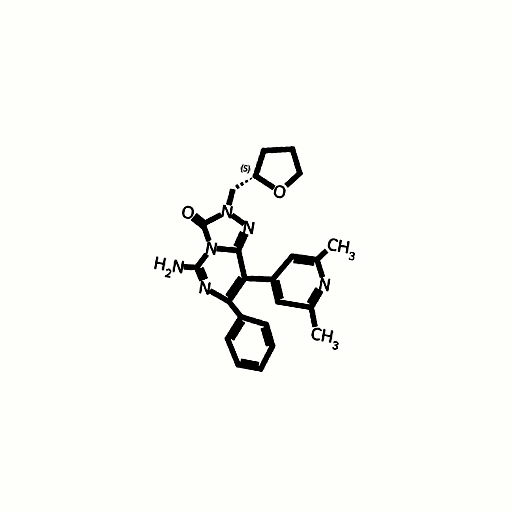 Cc1cc(-c2c(-c3ccccc3)nc(N)n3c(=O)n(C[C@@H]4CCCO4)nc23)cc(C)n1